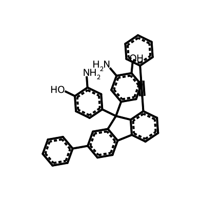 Nc1cc(C2(c3ccc(O)c(N)c3)c3cc(-c4ccccc4)ccc3-c3cccc(C#Cc4ccccc4)c32)ccc1O